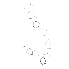 O=C1CCC(N2C(=O)c3ccc(N4CCC(CN5CCC(C(=O)Nc6ccc(Cl)cc6C(=O)Nc6ccc(C(F)(F)F)cc6Cl)CC5)CC4)cc3C2=O)C(=O)N1